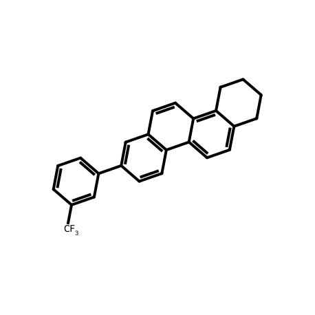 FC(F)(F)c1cccc(-c2ccc3c(ccc4c5c(ccc43)CCCC5)c2)c1